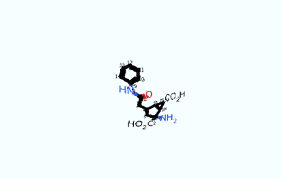 NC1(C(=O)O)CC(CC(=O)Nc2ccccc2)C2C(C(=O)O)C21